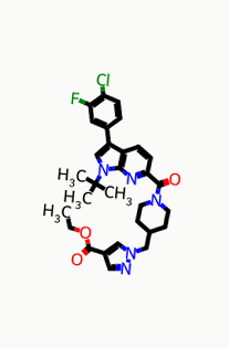 CCOC(=O)c1cnn(CC2CCN(C(=O)c3ccc4c(-c5ccc(Cl)c(F)c5)cn(C(C)(C)C)c4n3)CC2)c1